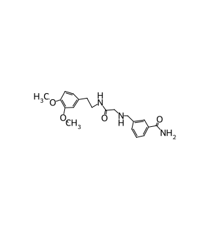 COc1ccc(CCNC(=O)CNCc2cccc(C(N)=O)c2)cc1OC